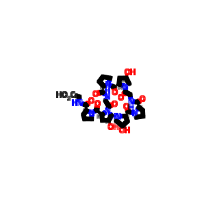 O=C(O)CNC(=O)[C@@H]1CCCN1C(=O)[C@@H]1C[C@@H](O)CN1C(=O)CNC(=O)[C@@H]1CCCN1C(=O)[C@@H]1C[C@@H](O)CN1C(=O)CNC(=O)[C@@H]1CCCN1C(=O)[C@@H]1C[C@@H](O)CN1